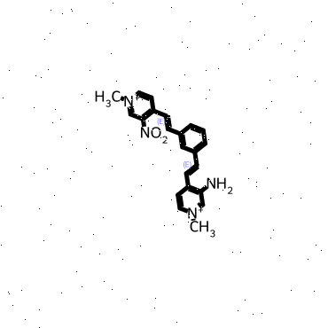 C[n+]1ccc(/C=C/c2cccc(/C=C/c3cc[n+](C)cc3[N+](=O)[O-])c2)c(N)c1